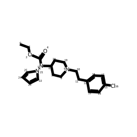 CCOC(=O)N(C1CCN(CCc2ccc(Cl)cc2)CC1)n1cccc1